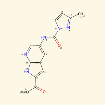 COC(=O)c1cc2cc(NC(=O)n3ccc(C)n3)cnc2[nH]1